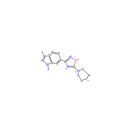 Cc1nn(C)c2cc(-c3noc(N4CCCCC4)n3)ccc12